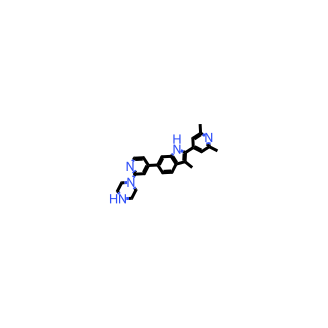 Cc1cc(-c2[nH]c3cc(-c4ccnc(N5CCNCC5)c4)ccc3c2C)cc(C)n1